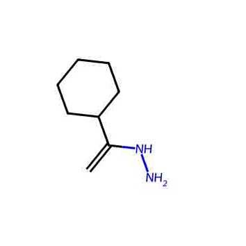 C=C(NN)C1CCCCC1